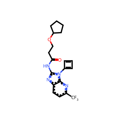 O=C(CCOC1CCCC1)Nc1nc2ccc(C(F)(F)F)nc2n1C1=CC=C1